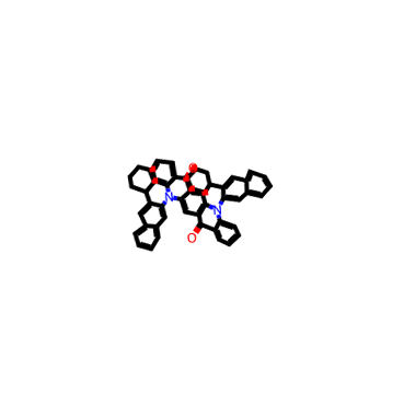 O=c1c2ccccc2n(-c2cc3ccccc3cc2C2CCCCC2)c2cc3c(=O)c4ccccc4n(-c4cc5ccccc5cc4C4CCCCC4)c3cc12